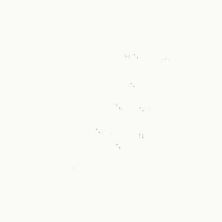 CCCCC(N)CNc1nc2c(NCC=C(C)C)ncnc2[nH]1